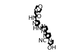 N#Cc1nc(-c2ccnc(Nc3ccc(NC(=O)CN4CCOCC4)nc3)n2)ccc1N1CCC(O)C1